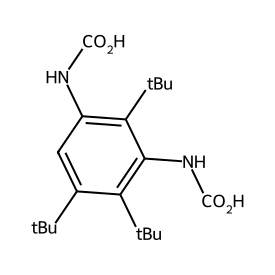 CC(C)(C)c1cc(NC(=O)O)c(C(C)(C)C)c(NC(=O)O)c1C(C)(C)C